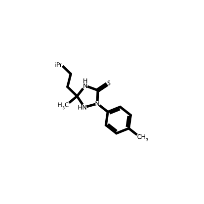 Cc1ccc(N2NC(C)(CCC(C)C)NC2=S)cc1